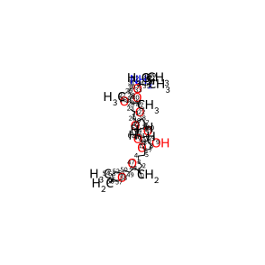 C=C1C[C@H](CCC23C[C@@H](O)C4C(O2)C2[C@H]4O[C@H]4CC[C@H](CC(=O)C[C@@H]5[C@@H](OC)[C@@H](C[C@@H](CN)OCC[Si](C)(C)C)O[C@H]5C)O[C@@H]4[C@@H]2O3)OC1CC[C@H]1C[C@@H](C)C(=C)CO1